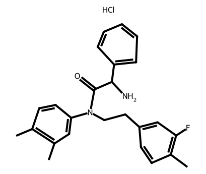 Cc1ccc(N(CCc2ccc(C)c(F)c2)C(=O)C(N)c2ccccc2)cc1C.Cl